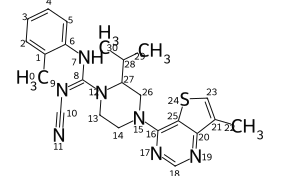 Cc1ccccc1N/C(=N/C#N)N1CCN(c2ncnc3c(C)csc23)CC1C(C)C